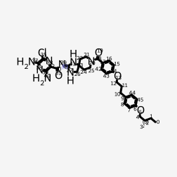 CC[C@H](C)COc1ccc(CCCOc2ccc(C(=O)N3CCC4(CC3)CN/C(=N\C(=O)c3nc(Cl)c(N)nc3N)N4)cc2)cc1